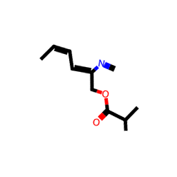 C=N/C(=C\C=C/C)COC(=O)C(C)C